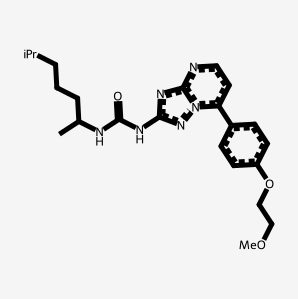 COCCOc1ccc(-c2ccnc3nc(NC(=O)NC(C)CCCC(C)C)nn23)cc1